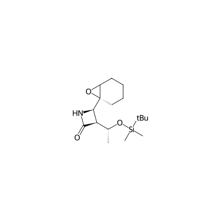 C[C@@H](O[Si](C)(C)C(C)(C)C)[C@H]1C(=O)N[C@H]1[C@]12CCCCC1O2